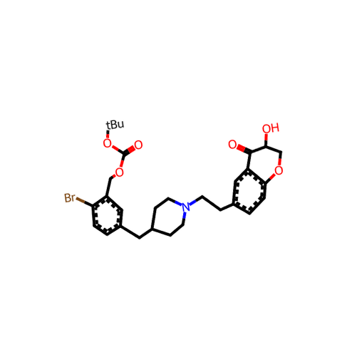 CC(C)(C)OC(=O)OCc1cc(CC2CCN(CCc3ccc4c(c3)C(=O)C(O)CO4)CC2)ccc1Br